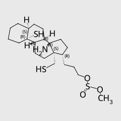 COS(=O)OCCC[C@H]1CC[C@@]2(N)[C@@H]3CC[C@@H]4CCCC[C@]4(S)[C@H]3CC[C@]12CS